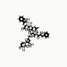 CC(C)C[C@H](NC(=O)N[C@@H](Cc1c[nH]c2ccccc12)C(=O)O)C(=O)N[C@H](C(=O)NC[C@H]1C[C@@H](O)[C@H](N2C=CC(=O)NC2O)O1)[C@H](C)N(C)C(=O)[C@@H](N)Cc1ccccc1